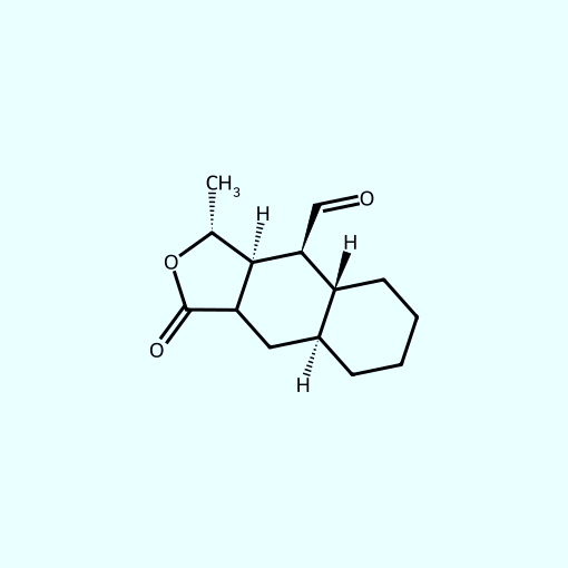 C[C@H]1OC(=O)C2C[C@@H]3CCCC[C@H]3[C@H](C=O)[C@@H]21